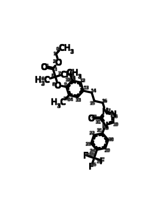 CCOC(=O)C(C)(C)Oc1c(C)cc(CCCn2ncn(-c3ccc(C(F)(F)F)cc3)c2=O)cc1C